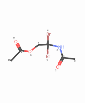 CC(=O)NC(Br)(Br)COC(C)=O